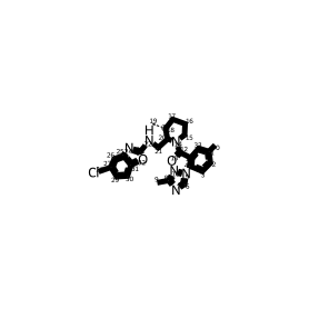 Cc1ccc(-n2cnc(C)n2)c(C(=O)N2CCC[C@@H](C)C2CNc2nc3cc(Cl)ccc3o2)c1